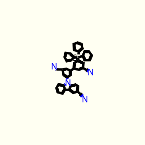 N#Cc1cc(-c2cc(C#N)cc([Si](c3ccccc3)(c3ccccc3)c3ccccc3)c2)cc(-n2c3ccccc3c3cc(C#N)ccc32)c1